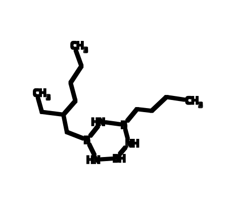 CCCCB1NBNB(CC(CC)CCCC)N1